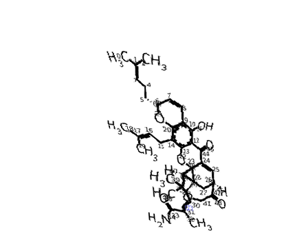 CC(C)=CCC[C@@H]1C=Cc2c(O)c3c(c(CC=C(C)C)c2O1)O[C@@]12C(=C[C@@H]4C[C@]1(C/C=C(/C)C(N)=O)[C@H]2C(C)(C)OCC4=O)C3=O